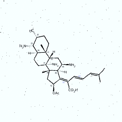 CC(=O)O[C@H]1C[C@@]2(C)[C@H](/C1=C(\C=C\C=C(C)C)C(=O)O)[C@H](N)C[C@H]1[C@@]3(C)CC[C@@H](O)[C@@H](N)[C@@H]3CC[C@@]12N